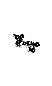 COc1ccc(C(OC[C@H]2O[C@@H](n3cnc4c5nc(nc43)C(=O)c3ccccc3C(=O)N5C(=O)c3ccccc3)C[C@@H]2O)(c2ccccc2)c2ccc(OC)cc2)cc1